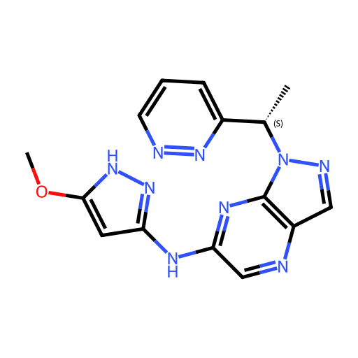 COc1cc(Nc2cnc3cnn([C@@H](C)c4cccnn4)c3n2)n[nH]1